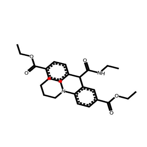 CCNC(=O)C(c1ccc(C(=O)OCC)cc1)c1cc(C(=O)OCC)ccc1N1CCCCC1